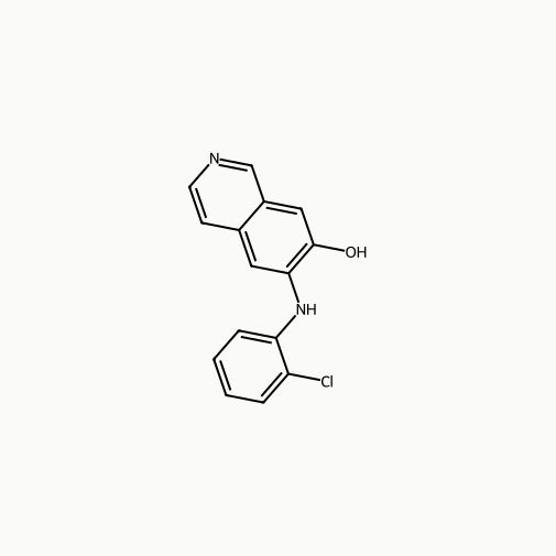 Oc1cc2cnccc2cc1Nc1ccccc1Cl